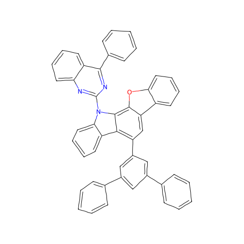 c1ccc(-c2cc(-c3ccccc3)cc(-c3cc4c5ccccc5oc4c4c3c3ccccc3n4-c3nc(-c4ccccc4)c4ccccc4n3)c2)cc1